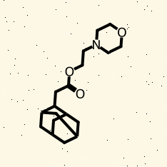 O=C(CC1C2CC3CC(C2)CC1C3)OCCN1CCOCC1